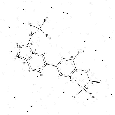 C[C@H](Oc1ncc(-c2cn3c(C4CC4(F)F)nnc3cn2)cc1F)C(F)(F)F